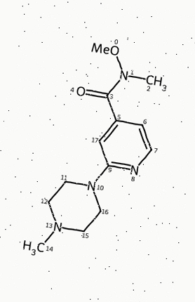 CON(C)C(=O)c1ccnc(N2CCN(C)CC2)c1